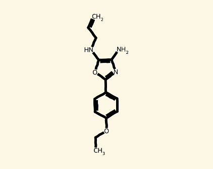 C=CCNc1oc(-c2ccc(OCC)cc2)nc1N